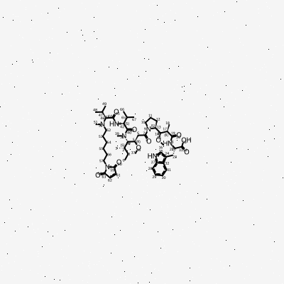 CC[C@H](C)[C@@H]([C@@H](CC(=O)N1CCC[C@H]1[C@H](OC)[C@@H](C)C(=O)N[C@@H](Cc1c[nH]c2ccccc12)C(=O)O)OC)N(C)C(=O)[C@@H](NC(=O)[C@H](C(C)C)N(C)CCCCCCN1C(=O)C=CC1=O)C(C)C